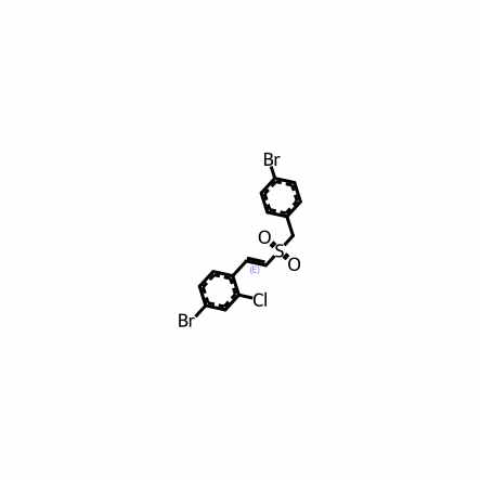 O=S(=O)(/C=C/c1ccc(Br)cc1Cl)Cc1ccc(Br)cc1